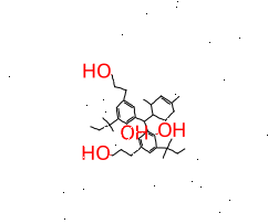 CCC(C)(C)c1cc(CCCO)cc(C(c2cc(CCCO)cc(C(C)(C)CC)c2O)C2CCC(C)=CC2C)c1O